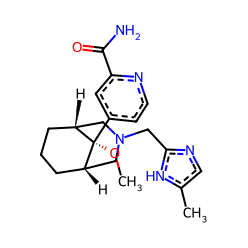 CO[C@@]1(c2ccnc(C(N)=O)c2)[C@@H]2CCC[C@H]1CN(Cc1ncc(C)[nH]1)C2